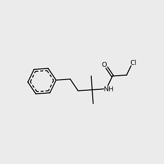 CC(C)(CCc1ccccc1)NC(=O)CCl